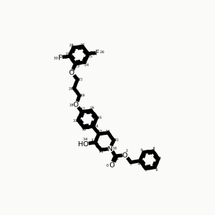 O=C(OCc1ccccc1)N1CCC(c2ccc(OCCCOc3cc(F)ccc3F)cc2)C(O)C1